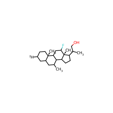 [2H]C1CC[C@@]2(C)C(C1)CC(C)C1C2CC(F)[C@]2(C)C(C(C)CO)CCC12